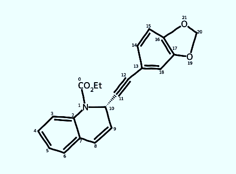 CCOC(=O)N1c2ccccc2C=C[C@H]1C#Cc1ccc2c(c1)OCO2